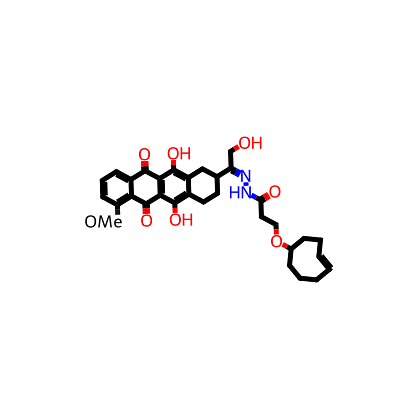 COc1cccc2c1C(=O)c1c(O)c3c(c(O)c1C2=O)CC(/C(CO)=N\NC(=O)CCOC1CC/C=C/CCC1)CC3